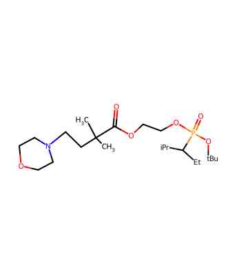 CCC(C(C)C)P(=O)(OCCOC(=O)C(C)(C)CCN1CCOCC1)OC(C)(C)C